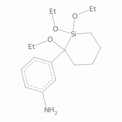 CCOC1(c2cccc(N)c2)CCCC[Si]1(OCC)OCC